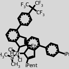 CCCC(C)C1=Cc2c(-c3ccc(C(C)C)cc3)cccc2[CH]1[Zr]([Cl])([Cl])([CH]1C(CC)=Cc2c(-c3ccc(C(C(F)(F)F)(C(F)(F)F)C(F)(F)F)cc3)cccc21)[SiH](C)C